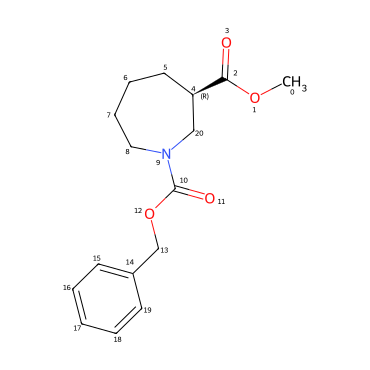 COC(=O)[C@@H]1CCCCN(C(=O)OCc2ccccc2)C1